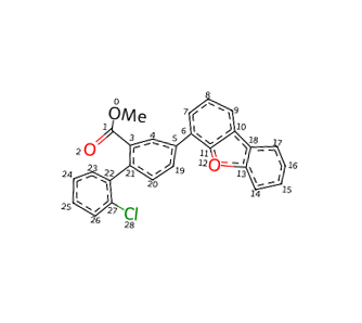 COC(=O)c1cc(-c2cccc3c2oc2ccccc23)ccc1-c1ccccc1Cl